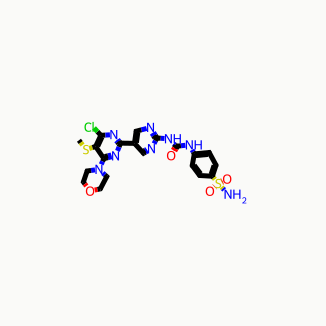 CSc1c(Cl)nc(-c2cnc(NC(=O)Nc3ccc(S(N)(=O)=O)cc3)nc2)nc1N1CCOCC1